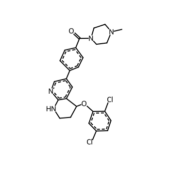 CN1CCN(C(=O)c2ccc(-c3cnc4c(c3)C(Oc3cc(Cl)ccc3Cl)CCN4)cc2)CC1